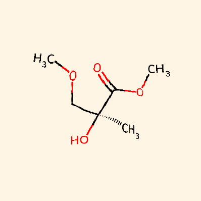 COC[C@](C)(O)C(=O)OC